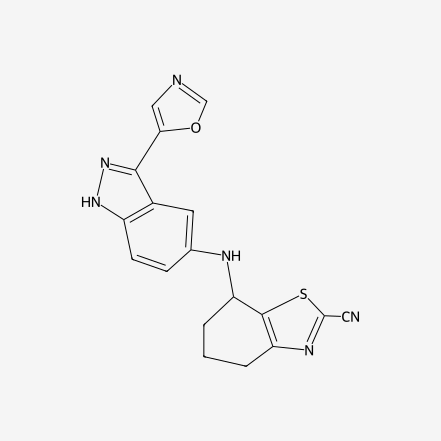 N#Cc1nc2c(s1)C(Nc1ccc3[nH]nc(-c4cnco4)c3c1)CCC2